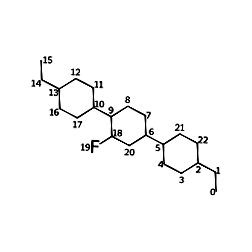 CCC1CCC(C2CCC(C3CCC(CC)CC3)C(F)C2)CC1